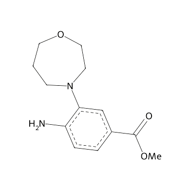 COC(=O)c1ccc(N)c(N2CCCOCC2)c1